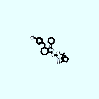 CC12CCC(C1)C(C)(C)[C@H]2NC(=O)Oc1nn(C2CCCCC2)c2c1CCCCC2Cc1ccc(Cl)cc1